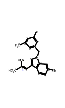 Cc1cc(Cn2cc(/C=C(\C#N)C(=O)O)c3ccc(Br)cc32)cc(C(F)(F)F)c1